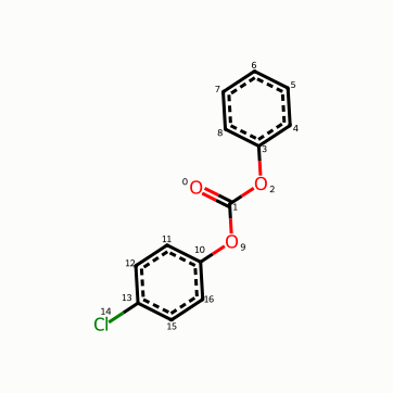 O=C(Oc1ccccc1)Oc1ccc(Cl)cc1